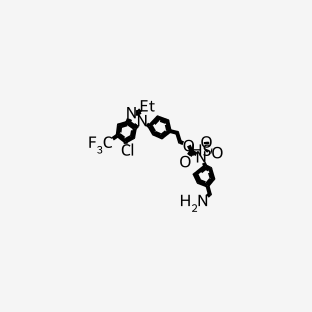 CCc1nc2cc(C(F)(F)F)c(Cl)cc2n1-c1ccc(CCOC(=O)N(c2ccc(CN)cc2)[SH](=O)=O)cc1